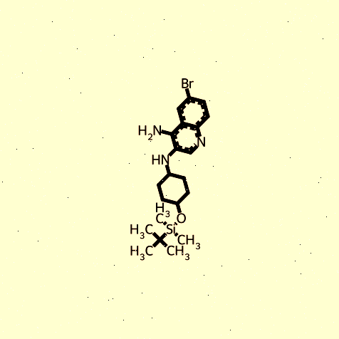 CC(C)(C)[Si](C)(C)OC1CCC(Nc2cnc3ccc(Br)cc3c2N)CC1